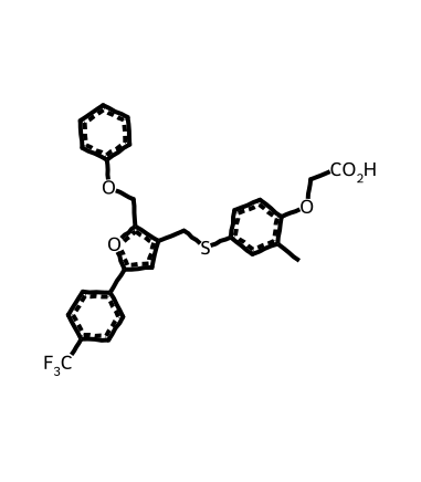 Cc1cc(SCc2cc(-c3ccc(C(F)(F)F)cc3)oc2COc2ccccc2)ccc1OCC(=O)O